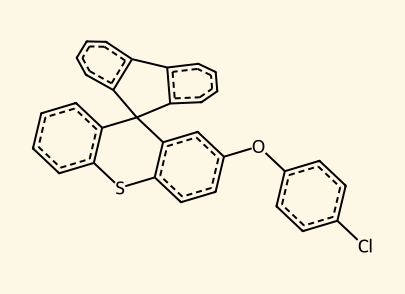 Clc1ccc(Oc2ccc3c(c2)C2(c4ccccc4S3)c3ccccc3-c3ccccc32)cc1